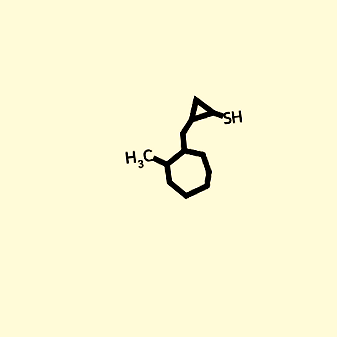 CC1CCCCCC1CC1CC1S